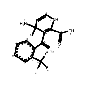 CC1(N)C=CNC(C(=O)O)=C1C(=O)c1ccccc1C(F)(F)F